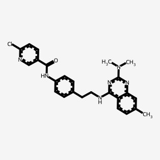 Cc1ccc2c(NCCc3ccc(NC(=O)c4ccc(Cl)nc4)cc3)nc(N(C)C)nc2c1